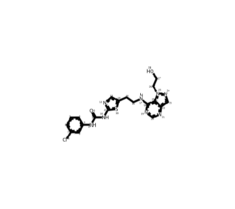 O=C(Nc1cccc(Cl)c1)Nc1ncc(CCNc2ncnc3cnn(CCO)c23)s1